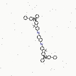 CC1(C)c2cc(/C=C/c3ccc4cc(/C=C/c5ccc6c(c5)C(C)(C)c5cc(N(c7ccccc7)c7ccc(-c8ccccc8)cc7)ccc5-6)ccc4c3)ccc2-c2ccc(N(c3ccccc3)c3ccc(-c4ccccc4)cc3)cc21